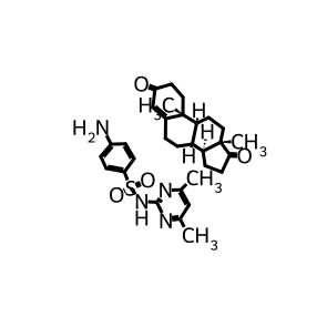 C[C@]12CCC(=O)C=C1CC[C@@H]1[C@@H]2CC[C@]2(C)C(=O)CC[C@@H]12.Cc1cc(C)nc(NS(=O)(=O)c2ccc(N)cc2)n1